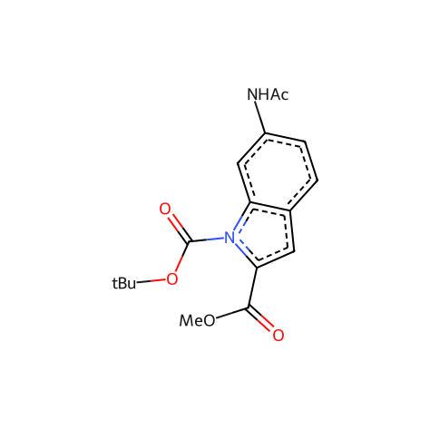 COC(=O)c1cc2ccc(NC(C)=O)cc2n1C(=O)OC(C)(C)C